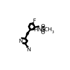 CS(=O)(=O)NCc1cc(C#Cc2cncc(C#N)c2)ccc1F